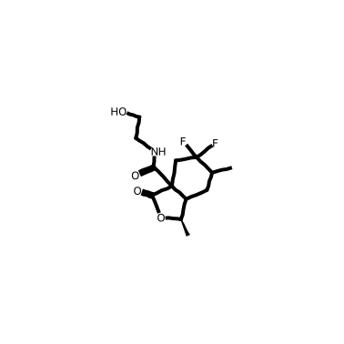 CC1CC2[C@@H](C)OC(=O)C2(C(=O)NCCO)CC1(F)F